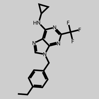 CCc1ccc(Cn2cnc3c(NC4CC4)nc(C(F)(F)F)nc32)cc1